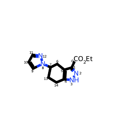 CCOC(=O)c1n[nH]c2c1CC(n1cccn1)CC2